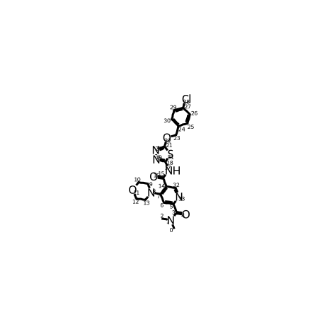 CN(C)C(=O)c1cc(N2CCOCC2)c(C(=O)Nc2nnc(OCc3ccc(Cl)cc3)s2)cn1